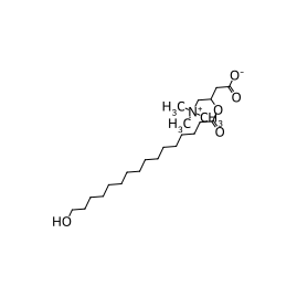 C[N+](C)(C)CC(CC(=O)[O-])OC(=O)CCCCCCCCCCCCCCCO